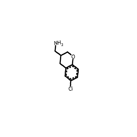 NCC1COc2ccc(Cl)cc2C1